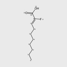 CCCCCCC/C=C(\F)C(=O)O